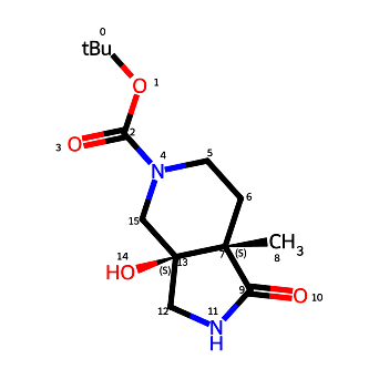 CC(C)(C)OC(=O)N1CC[C@]2(C)C(=O)NC[C@]2(O)C1